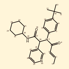 C/C=C/C(=O)N(c1ccc(C(C)(C)C)cc1)C(C(=O)NC1CCCCC1)c1cccnc1